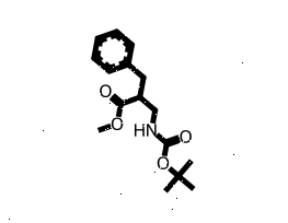 COC(=O)C(CNC(=O)OC(C)(C)C)Cc1ccccc1